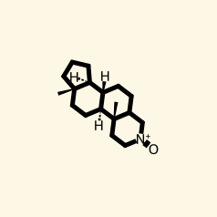 C[C@@]12CCC[C@H]1[C@@H]1CCC3C[N+](=O)CC[C@]3(C)[C@H]1CC2